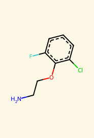 NCCOc1c(F)cccc1Cl